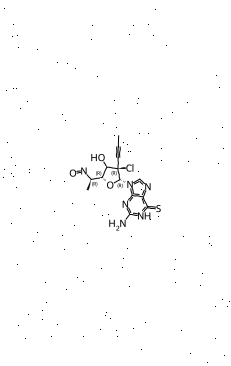 CC#C[C@@]1(Cl)C(O)[C@@H]([C@@H](C)N=O)O[C@H]1n1cnc2c(=S)[nH]c(N)nc21